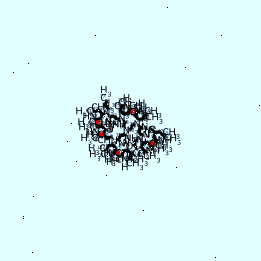 CCCCN(C1=NN(OC2CC(C)(C)NC(C)(C)C2)NC(N(CCN(C2=CC(N(CCCC)C3CC(C)(C)NC(C)(C)C3)=NN(OC3CC(C)(C)NC(C)(C)C3)N2)C2CC(C)(C)NC(C)(C)C2)CCN(C2=CC(N(CCCC)C3CC(C)(C)NC(C)(C)C3)=NN(OC3CC(C)(C)NC(C)(C)C3)N2)C2CC(C)(C)NC(C)(C)C2)=C1)C1CC(C)(C)NC(C)(C)C1